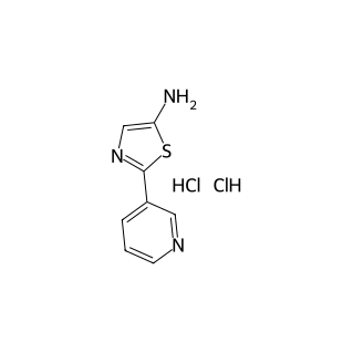 Cl.Cl.Nc1cnc(-c2cccnc2)s1